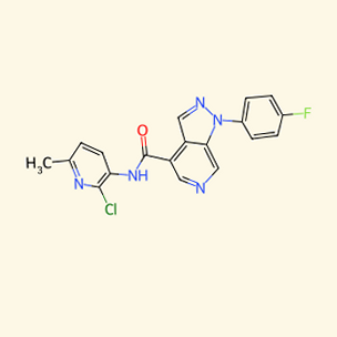 Cc1ccc(NC(=O)c2cncc3c2cnn3-c2ccc(F)cc2)c(Cl)n1